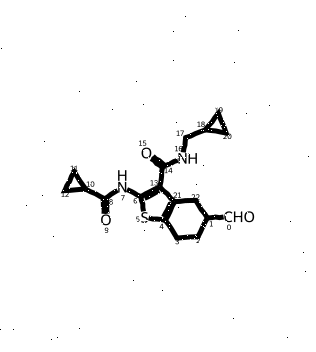 O=CC1CCc2sc(NC(=O)C3CC3)c(C(=O)NCC3CC3)c2C1